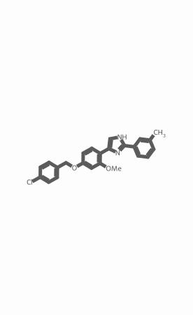 COc1cc(OCc2ccc(Cl)cc2)ccc1-c1c[nH]c(-c2cccc(C)c2)n1